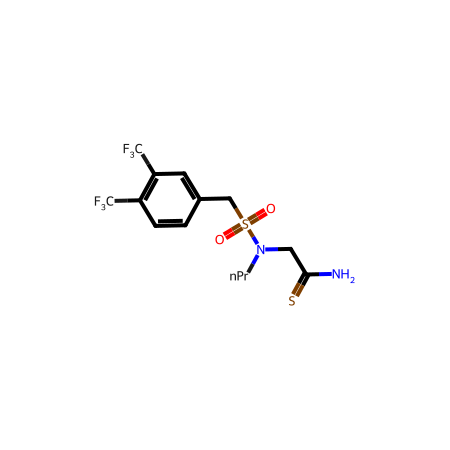 CCCN(CC(N)=S)S(=O)(=O)Cc1ccc(C(F)(F)F)c(C(F)(F)F)c1